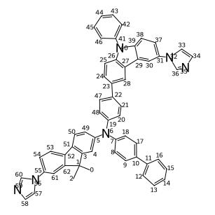 CC1(C)c2cc(N(c3ccc(-c4ccccc4)cc3)c3ccc(-c4ccc5c(c4)c4cc(-n6ccnc6)ccc4n5-c4ccccc4)cc3)ccc2-c2ccc(-n3ccnc3)cc21